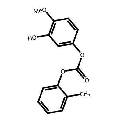 COc1ccc(OC(=O)Oc2ccccc2C)cc1O